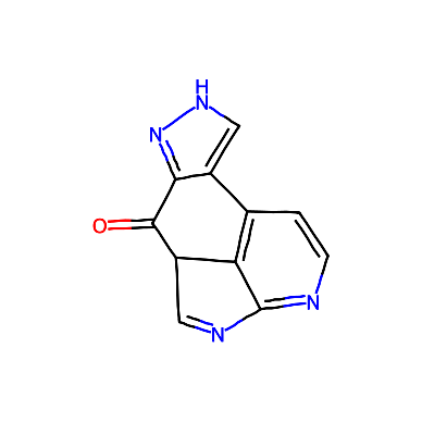 O=C1c2n[nH]cc2-c2ccnc3c2C1C=N3